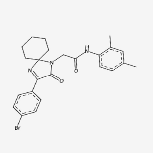 Cc1ccc(NC(=O)CN2C(=O)C(c3ccc(Br)cc3)=NC23CCCCC3)c(C)c1